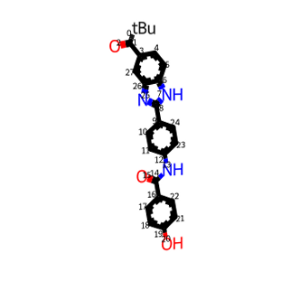 CC(C)(C)C(=O)c1ccc2[nH]c(-c3ccc(NC(=O)c4ccc(O)cc4)cc3)nc2c1